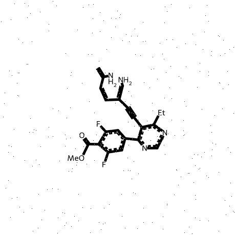 C=C(N)/C=C\C(C#Cc1c(CC)ncnc1-c1cc(F)c(C(=O)OC)c(F)c1)=C/N